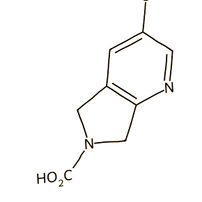 COc1cnc2c(c1)CN(C(=O)O)C2